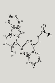 CCN(CC)CCOc1ccncc1NC(=O)C1=C(O)CCn2c1nc1ccccc12